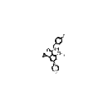 Cc1cc(N2CCOCC2)cc(C2CC2)c1C(=O)NCc1ccc(F)cc1